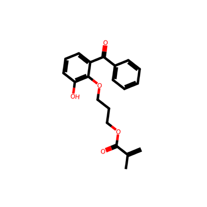 C=C(C)C(=O)OCCCOc1c(O)cccc1C(=O)c1ccccc1